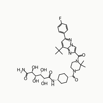 CC(C)(C)c1cc(-c2ccc(F)cc2)nn2cc(C(=O)N3CCN(C(=O)[C@H]4CC[C@@H](NC(=O)[C@H](O)[C@@H](O)[C@@H](O)[C@H](O)C(N)=O)CC4)CC3(C)C)nc12